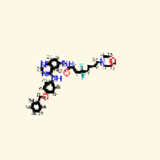 O=C(C=CC(F)(F)CCCCN1CCOCC1)Nc1ccc2ncnc(Nc3ccc(OCc4ccccc4)cc3)c2c1